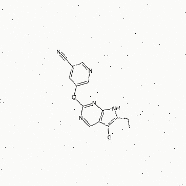 CCc1[nH]c2nc(Oc3cncc(C#N)c3)ncc2c1Cl